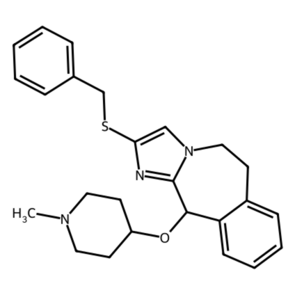 CN1CCC(OC2c3ccccc3CCn3cc(SCc4ccccc4)nc32)CC1